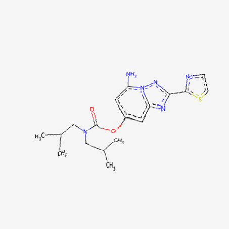 CC(C)CN(CC(C)C)C(=O)Oc1cc(N)n2nc(-c3nccs3)nc2c1